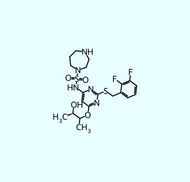 CC(Oc1cc(NS(=O)(=O)N2CCCNCC2)nc(SCc2cccc(F)c2F)n1)[C@@H](C)O